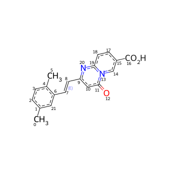 Cc1ccc(C)c(/C=C/c2cc(=O)n3cc(C(=O)O)ccc3n2)c1